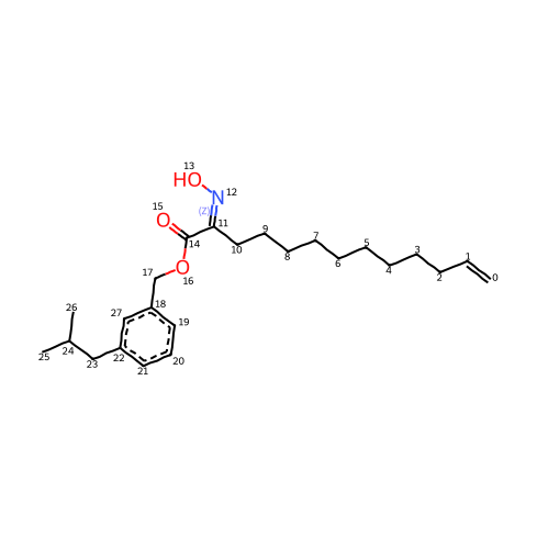 C=CCCCCCCCCC/C(=N/O)C(=O)OCc1cccc(CC(C)C)c1